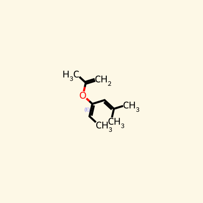 C=C(C)O/C(C=C(C)C)=C/C